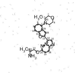 C[C@@H]1COCCN1c1cccc2oc(-c3cnc4ccc(OC[C@@H](C)N)nn34)cc12